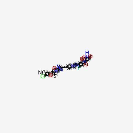 CC1(C)[C@H](Oc2ccc(C#N)c(Cl)c2)C(C)(C)[C@H]1N1Cc2nc(C#CC3CCC(N4CC5CC4CN5c4cc5c(cc4F)C(=O)N(C4CCC(=O)NC4=O)C5=O)CC3)cnc2C1=O